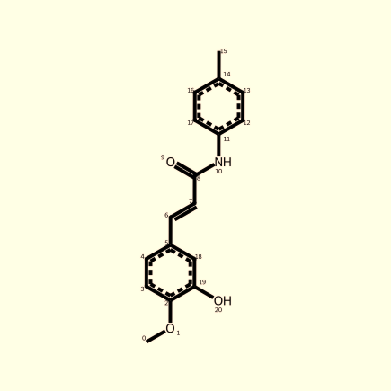 COc1ccc(/C=C/C(=O)Nc2ccc(C)cc2)cc1O